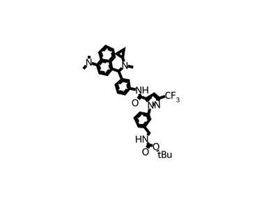 CN(C)c1ccc(C(c2cccc(NC(=O)c3cc(C(F)(F)F)nn3-c3cccc(CNC(=O)OC(C)(C)C)c3)c2)N(C)C2CC2)c2ccccc12